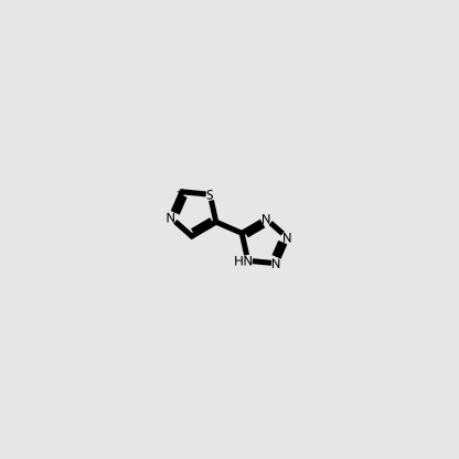 [c]1ncc(-c2nnn[nH]2)s1